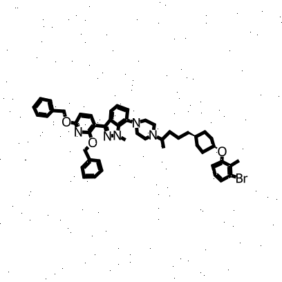 Cc1c(Br)cccc1O[C@H]1CC[C@H](CCCC(C)N2CCN(c3cccc4c(-c5ccc(OCc6ccccc6)nc5OCc5ccccc5)nn(C)c34)CC2)CC1